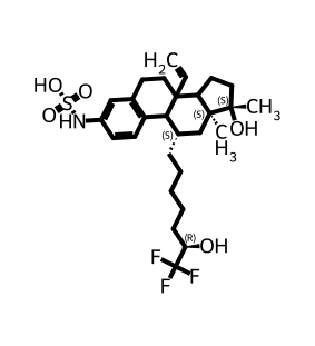 C=CC12CCc3cc(NS(=O)(=O)O)ccc3C1[C@@H](CCCCC[C@@H](O)C(F)(F)F)C[C@@]1(C)C2CC[C@]1(C)O